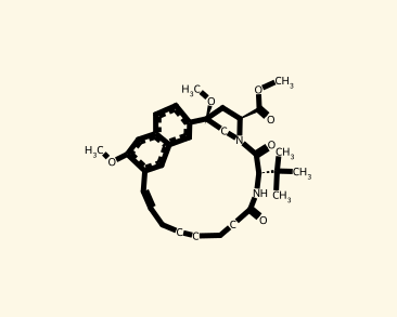 COC(=O)[C@@H]1C[C@]2(OC)CN1C(=O)[C@H](C(C)(C)C)NC(=O)CCCCCC=Cc1cc3cc2ccc3cc1OC